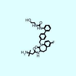 CC(C)(N)CC(=O)N[C@@H]1CCc2cc(F)ccc2N(Cc2ccc(-c3ccccc3NC(=O)NCCO)cc2)C1=O